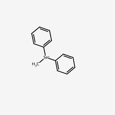 C[Se+](c1ccccc1)c1ccccc1